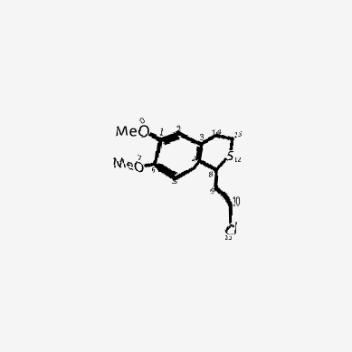 COc1cc2c(cc1OC)C(CCCl)SCC2